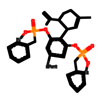 C=C(C)C1CCC(C)=CC1c1c(OP(=O)(Cc2ccccc2)OCC)cc(CCCCC)cc1OP(=O)(Cc1ccccc1)OCC